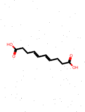 O=C(O)CC/C=C/C=C/CCC(=O)O